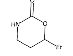 CCC1CCNC(=O)O1